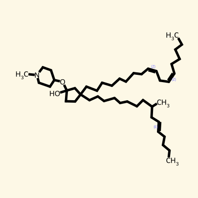 CCCC/C=C/CC(C)CCCCCCCCC1(CCCCCCCC/C=C\C/C=C\CCCCC)CCC(O)(OC2CCN(C)CC2)C1